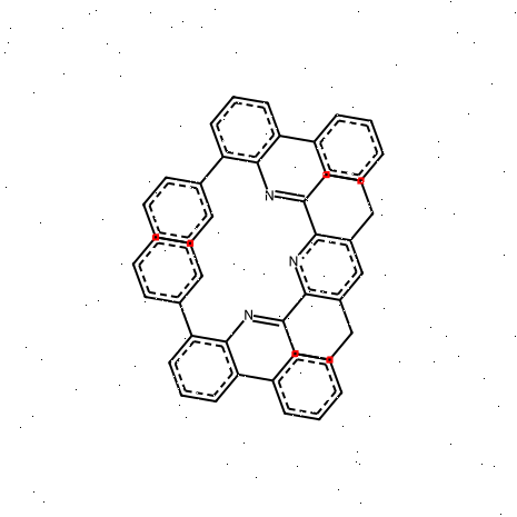 c1ccc(-c2cccc(-c3ccccc3)c2/N=C2\CCCc3cc4c(nc32)/C(=N/c2c(-c3ccccc3)cccc2-c2ccccc2)CCC4)cc1